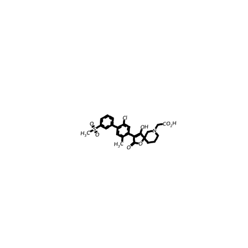 Cc1cc(-c2cccc(S(C)(=O)=O)c2)c(Cl)cc1C1=C(O)C2(CCCN(CC(=O)O)C2)OC1=O